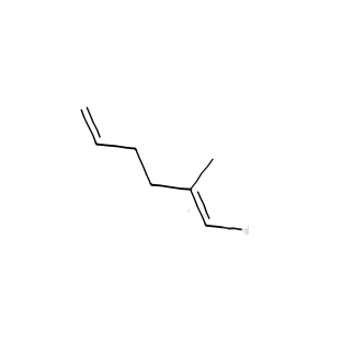 C=CCC/C(C)=C/C(C)C